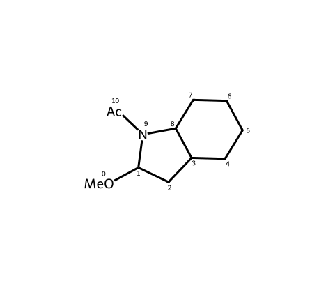 COC1CC2CCCCC2N1C(C)=O